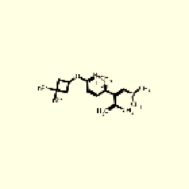 C=C(C)/C(=C\N(C)C)C(=C)/C=C\C(=N/C)OC1CC(CCC)(CCC)C1